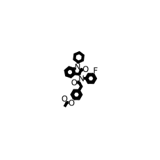 CC(=O)Oc1ccc(CC(=O)N(c2cccc(F)c2)C2C(=O)N(C3CCCCC3)c3ccccc32)cc1